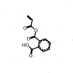 C=CC(=O)OC(=O)c1ccccc1C(=O)O